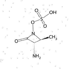 C[C@H]1[C@H](N)C(=O)N1OS(=O)(=O)O